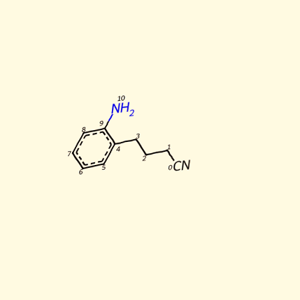 N#CCCCc1ccccc1N